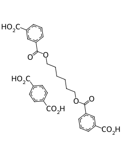 O=C(O)c1ccc(C(=O)O)cc1.O=C(O)c1cccc(C(=O)OCCCCCCOC(=O)c2cccc(C(=O)O)c2)c1